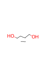 CC.OCCCCO